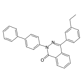 CCc1cccc(-c2nn(-c3ccc(-c4ccccc4)cc3)c(=O)c3ccccc23)c1